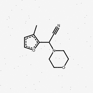 Cc1ccoc1C(C#N)N1CCOCC1